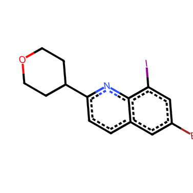 Brc1cc(I)c2nc(C3CCOCC3)ccc2c1